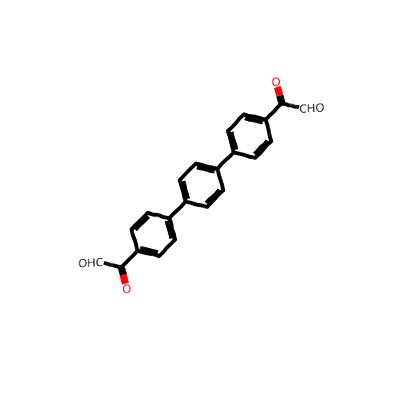 O=CC(=O)c1ccc(-c2ccc(-c3ccc(C(=O)C=O)cc3)cc2)cc1